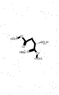 CCCCCCCCOC(=O)C[C@@H](C(=O)OCCCCCCCC)S(=O)(=O)O.[NaH]